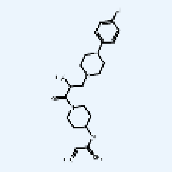 C=CC(=C)NC1CCN(C(=O)C(C)CN2CCN(c3ccc(Cl)cc3)CC2)CC1